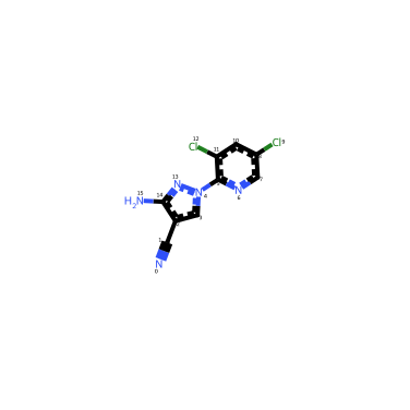 N#Cc1cn(-c2ncc(Cl)cc2Cl)nc1N